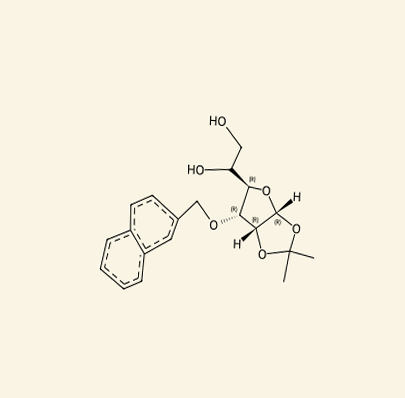 CC1(C)O[C@H]2O[C@H](C(O)CO)[C@@H](OCc3ccc4ccccc4c3)[C@H]2O1